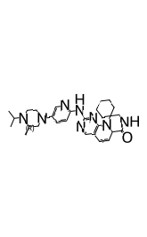 CC(C)N1CCN(c2ccc(Nc3ncc4c(n3)N3C(C=C4)C(=O)NCC34CCCCC4)nc2)C[C@H]1C